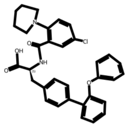 O=C(N[C@@H](Cc1ccc(-c2ccccc2Oc2ccccc2)cc1)C(=O)O)c1cc(Cl)ccc1N1CCCCC1